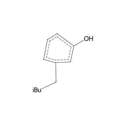 CCC(C)Cc1cccc(O)c1